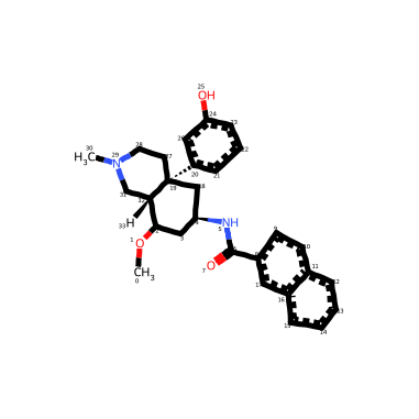 COC1C[C@H](NC(=O)c2ccc3ccccc3c2)C[C@]2(c3cccc(O)c3)CCN(C)C[C@@H]12